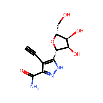 C#Cc1c(C(N)=O)n[nH]c1[C@@H]1O[C@H](CO)[C@@H](O)[C@H]1O